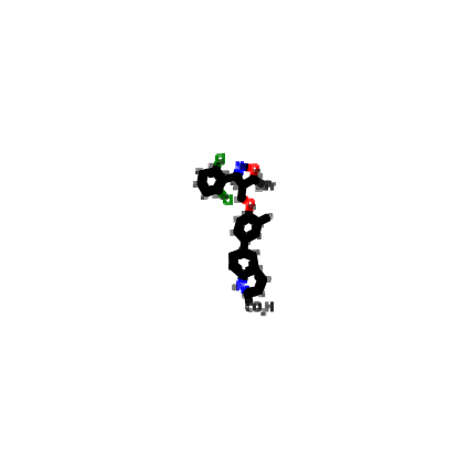 Cc1cc(-c2ccc3nc(C(=O)O)ccc3c2)ccc1OCC1C(c2c(Cl)cccc2Cl)=NOC1C(C)C